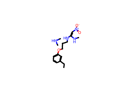 CCc1cccc(OCCCNC(=C[N+](=O)[O-])NC)c1.CNC